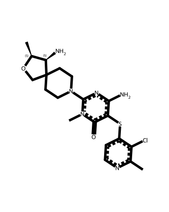 Cc1nccc(Sc2c(N)nc(N3CCC4(CC3)CO[C@@H](C)[C@H]4N)n(C)c2=O)c1Cl